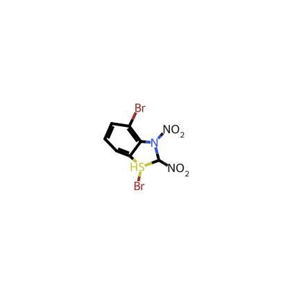 O=[N+]([O-])C1N([N+](=O)[O-])c2c(Br)cccc2[SH]1Br